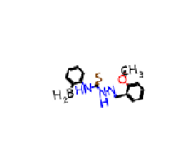 Bc1ccccc1NC(=S)N/N=C/c1ccccc1OC